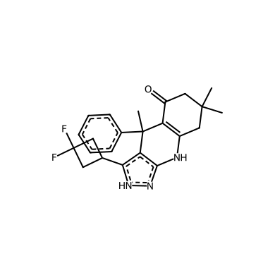 CC1(C)CC(=O)C2=C(C1)Nc1n[nH]c(C3CC(F)(F)C3)c1C2(C)c1ccccc1